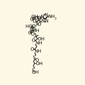 CC(C)(COP(=O)(O)OP(=O)(O)OC[C@H]1O[C@@H](n2cnc3c(N)ncnc32)[C@H](O)[C@@H]1OP(=O)(O)O)C(O)C(=O)NCCC(=O)NCCSC(=O)CC(O)CCCO